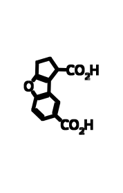 O=C(O)c1ccc2oc3c(c2c1)C(C(=O)O)CC3